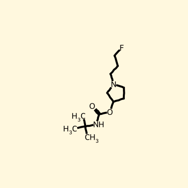 CC(C)(C)NC(=O)OC1CCN(CCCF)C1